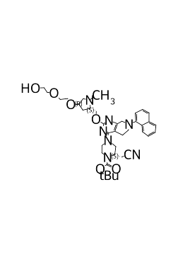 CN1C[C@H](OCCOCCO)C[C@H]1COc1nc2c(c(N3CCN(C(=O)OC(C)(C)C)[C@@H](CC#N)C3)n1)CCN(c1cccc3ccccc13)C2